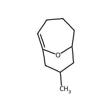 CC1CC2=CCCCC(C1)O2